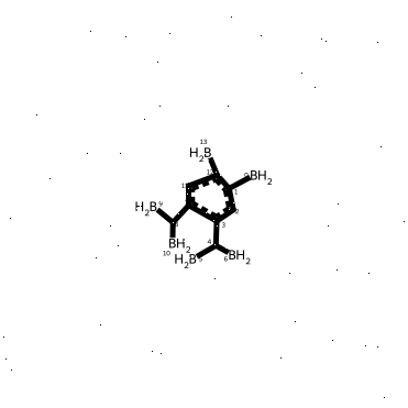 Bc1cc(C(B)B)c(C(B)B)cc1B